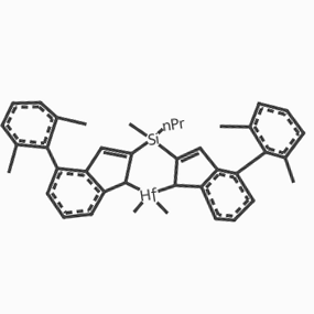 CCC[Si]1(C)C2=Cc3c(-c4c(C)cccc4C)cccc3[CH]2[Hf]([CH3])([CH3])[CH]2C1=Cc1c(-c3c(C)cccc3C)cccc12